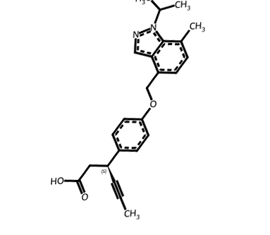 CC#C[C@@H](CC(=O)O)c1ccc(OCc2ccc(C)c3c2cnn3C(C)C)cc1